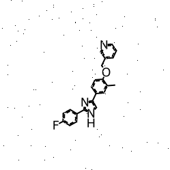 Cc1cc(-c2c[nH]c(-c3ccc(F)cc3)n2)ccc1OCc1cccnc1